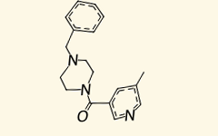 Cc1cncc(C(=O)N2CCN(Cc3ccccc3)CC2)c1